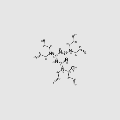 C=CCC(O)N(CC=C)c1nc(N(CC=C)CC=C)nc(N(CC=C)CC=C)n1